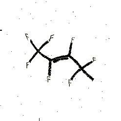 CC(F)(F)C(F)=C(F)C(F)(F)F